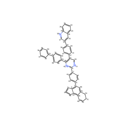 C1=Cc2c(-c3ccc(-c4ncc(-c5ccc(-c6cnc7ccccc7c6)cc5)c(-c5ccc(-c6ccccc6)cc5)n4)cc3)cc3c(c2C=1)C=CCC3